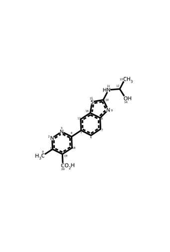 Cc1nnc(-c2ccc3nc(NC(C)O)sc3c2)cc1C(=O)O